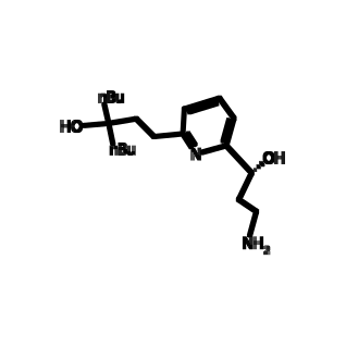 CCCCC(O)(CCCC)CCc1cccc([C@H](O)CCN)n1